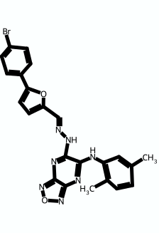 Cc1ccc(C)c(Nc2nc3nonc3nc2NN=Cc2ccc(-c3ccc(Br)cc3)o2)c1